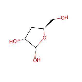 OC[C@@H]1C[C@@H](O)[C@@H](O)O1